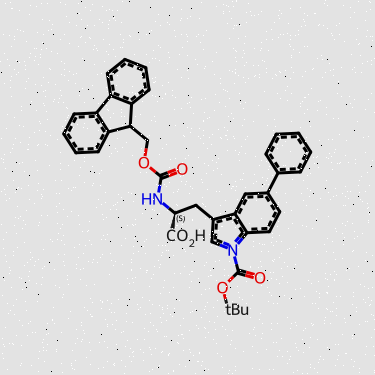 CC(C)(C)OC(=O)n1cc(C[C@H](NC(=O)OCC2c3ccccc3-c3ccccc32)C(=O)O)c2cc(-c3ccccc3)ccc21